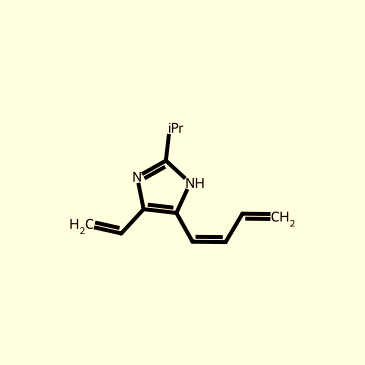 C=C/C=C\c1[nH]c(C(C)C)nc1C=C